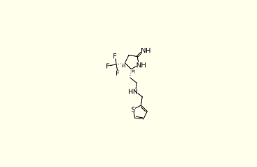 N=C1C[C@@H](C(F)(F)F)[C@@H](CCNCc2cccs2)N1